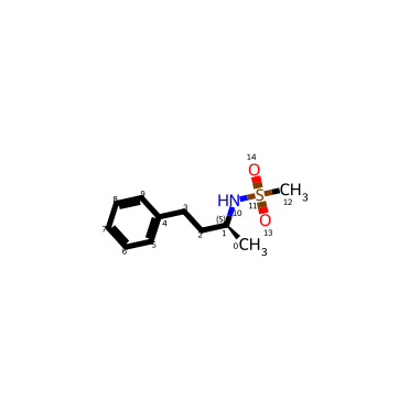 C[C@@H](CCc1ccccc1)NS(C)(=O)=O